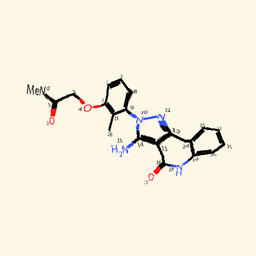 CNC(=O)COc1cccc(-n2nc3c(c2N)c(=O)[nH]c2ccccc23)c1C